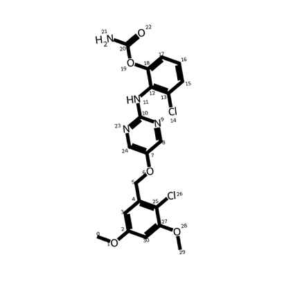 COc1cc(COc2cnc(Nc3c(Cl)cccc3OC(N)=O)nc2)c(Cl)c(OC)c1